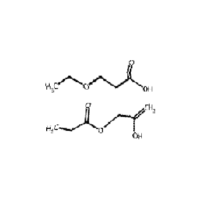 C=C(O)COC(=O)CC.CCOCCC(=O)O